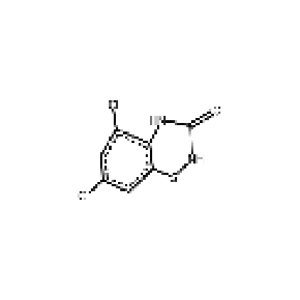 O=C1NSc2cc(Cl)cc(Cl)c2N1